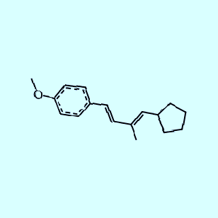 COc1ccc(C=CC(C)=CC2CCCC2)cc1